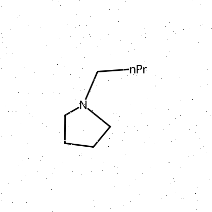 CCCCN1CCCC1